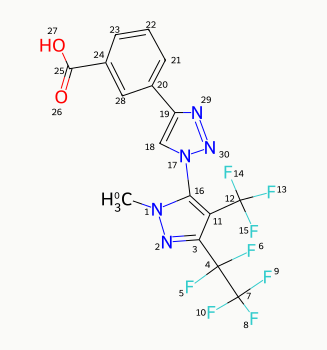 Cn1nc(C(F)(F)C(F)(F)F)c(C(F)(F)F)c1-n1cc(-c2cccc(C(=O)O)c2)nn1